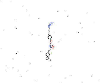 [N-]=[N+]=NCCCCc1ccc(OCc2coc(C=Cc3ccc(C(F)(F)F)cc3F)n2)cc1